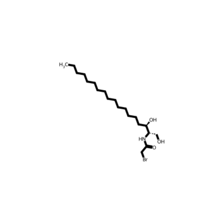 CCCCCCCCCCCCCCC[C@@H](O)[C@H](CO)NC(=O)CBr